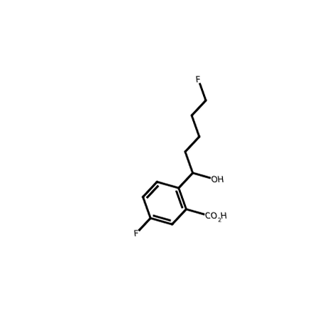 O=C(O)c1cc(F)ccc1C(O)CCCCF